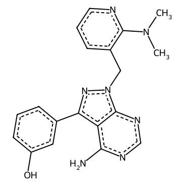 CN(C)c1ncccc1Cn1nc(-c2cccc(O)c2)c2c(N)ncnc21